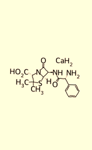 CC1(C)S[C@@H]2[C@H](NC(=O)[C@H](N)c3ccccc3)C(=O)N2[C@H]1C(=O)O.[CaH2]